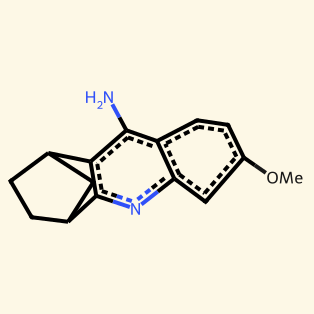 COc1ccc2c(N)c3c(nc2c1)C1CCC3C1